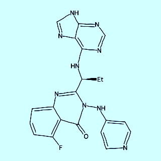 CC[C@H](Nc1ncnc2[nH]cnc12)c1nc2cccc(F)c2c(=O)n1Nc1ccncc1